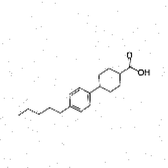 CCCCCc1ccc(C2CCC(C(=O)O)CC2)cc1